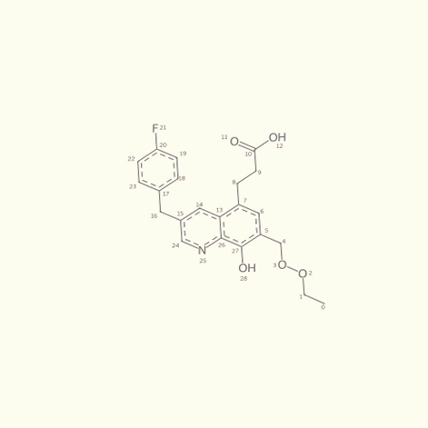 CCOOCc1cc(CCC(=O)O)c2cc(Cc3ccc(F)cc3)cnc2c1O